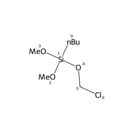 CCCC[Si](OC)(OC)OCCl